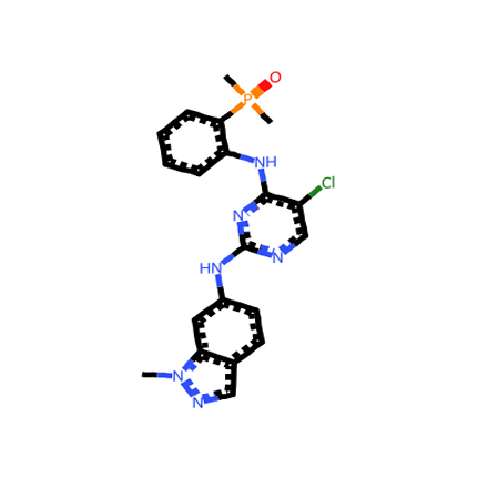 Cn1ncc2ccc(Nc3ncc(Cl)c(Nc4ccccc4P(C)(C)=O)n3)cc21